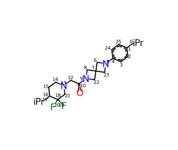 CC(C)c1ccc(N2CC3(CN(C(=O)CN4CCC(C(C)C)C(F)(F)C4)C3)C2)cc1